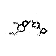 CC(C)(C)C1CN(C(=O)O)CCc2cc(Oc3ccc(N4CCCC4=O)cn3)ccc21